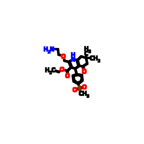 CCOC(=O)C1=C(COCCN)NC2=C(C(=O)CC(C)(C)C2)C1c1ccc(S(C)(=O)=O)cc1